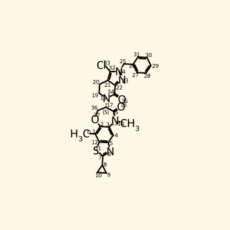 Cc1c2c(cc3nc(C4CC4)sc13)N(C)C(=O)[C@@H](N1CCc3c(nn(Cc4ccccc4)c3Cl)C1=O)CO2